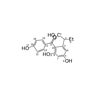 CCC(C(=O)O)c1cc(O)cc(O)c1C(=O)c1ccc(O)cc1